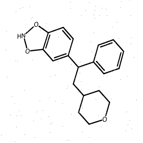 c1ccc(C(CC2CCOCC2)c2ccc3c(c2)ONO3)cc1